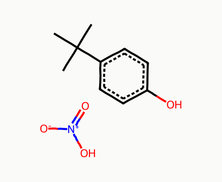 CC(C)(C)c1ccc(O)cc1.O=[N+]([O-])O